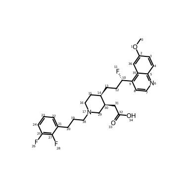 COc1ccc2nccc([C@@H](F)CC[C@@H]3CCN(CCCc4cccc(F)c4F)C[C@@H]3CC(=O)O)c2c1